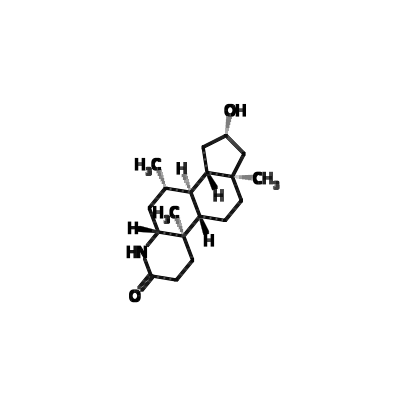 C[C@H]1C[C@H]2NC(=O)CC[C@]2(C)[C@H]2CC[C@]3(C)C[C@@H](O)C[C@H]3[C@H]12